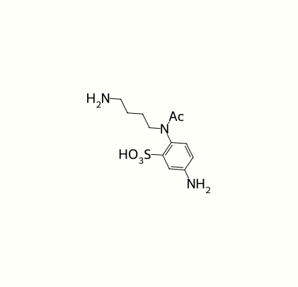 CC(=O)N(CCCCN)c1ccc(N)cc1S(=O)(=O)O